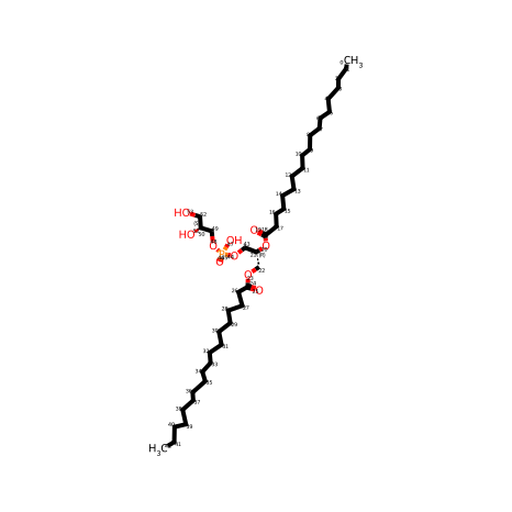 CCCCCCCCCCCCCCCCCCC(=O)O[C@H](COC(=O)CCCCCCCCCCCCCCCCC)COP(=O)(O)OC[C@@H](O)CO